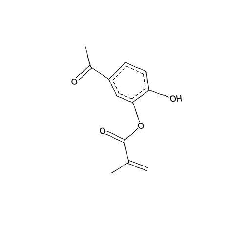 C=C(C)C(=O)Oc1cc(C(C)=O)ccc1O